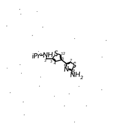 CC(C)NCc1cc(-c2csc(N)n2)cs1